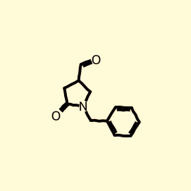 O=CC1CC(=O)N(Cc2ccccc2)C1